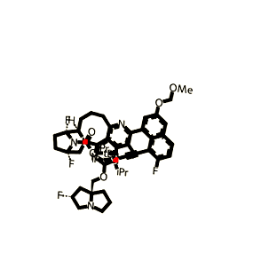 COCOc1cc(-c2nc3c4c(nc(OC[C@@]56CCCN5C[C@H](F)C6)nc4c2F)N2C[C@@]4(F)CC[C@@](F)([C@H]2CCC3)N4C(=O)OC(C)(C)C)c2c(C#C[Si](C(C)C)(C(C)C)C(C)C)c(F)ccc2c1